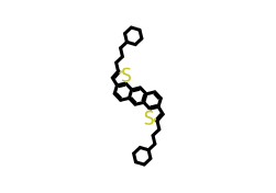 c1cc2cc(CCCC3CCCCC3)sc2c2cc3ccc4cc(CCCC5CCCCC5)sc4c3cc12